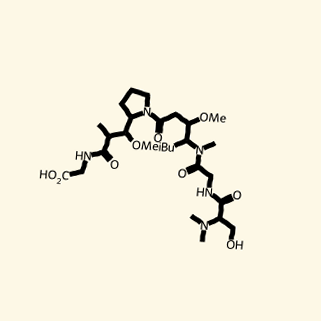 CCC(C)C(C(CC(=O)N1CCCC1C(OC)C(C)C(=O)NCC(=O)O)OC)N(C)C(=O)CNC(=O)C(CO)N(C)C